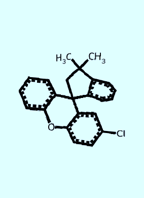 CC1(C)CC2(c3ccccc3Oc3ccc(Cl)cc32)c2ccccc21